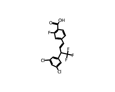 O=C(O)c1ccc(C=CC(c2cc(Cl)cc(Cl)c2)C(F)(F)F)cc1F